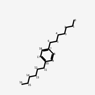 CCCCCCCc1ccc(CCCCCC)cc1